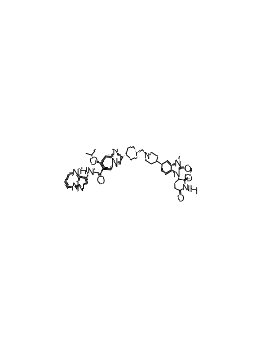 CC(C)Oc1cc2nc([C@H]3CC[C@H](CN4CCC(c5ccc6c(c5)n(C)c(=O)n6C5CCC(=O)NC5=O)CC4)CC3)cn2cc1C(=O)Nc1cnn2cccnc12